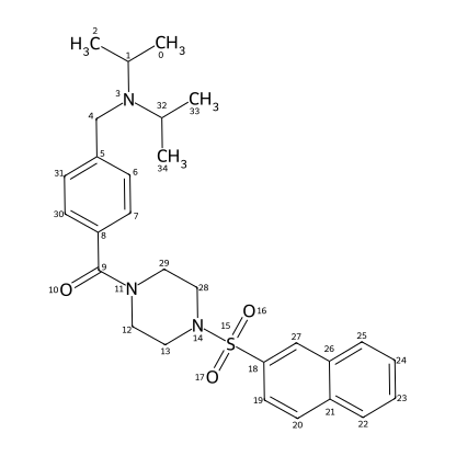 CC(C)N(Cc1ccc(C(=O)N2CCN(S(=O)(=O)c3ccc4ccccc4c3)CC2)cc1)C(C)C